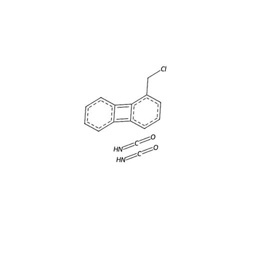 ClCc1cccc2c1=c1ccccc1=2.N=C=O.N=C=O